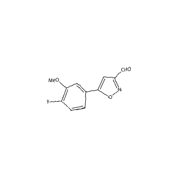 COc1cc(-c2cc(C=O)no2)ccc1F